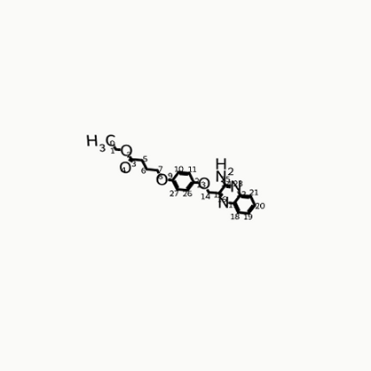 CCOC(=O)CCCOc1ccc(OCc2nc3ccccc3nc2N)cc1